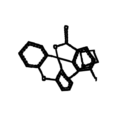 O=C1OC2(c3ccccc3Oc3cccc(N4CCC4)c32)c2cc(I)ccc21